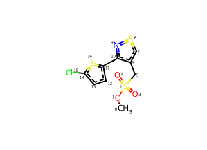 COS(=O)(=O)Cc1csnc1-c1ccc(Cl)s1